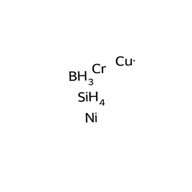 B.[Cr].[Cu].[Ni].[SiH4]